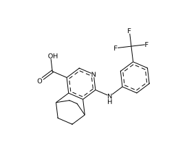 O=C(O)c1cnc(Nc2cccc(C(F)(F)F)c2)c2c1C1CCC2CC1